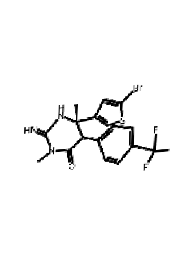 CN1C(=N)N[C@](C)(c2csc(Br)c2)C(c2ccc(C(C)(F)F)cc2)C1=O